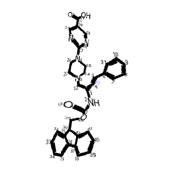 O=C(NC(/C=C/c1ccccc1)CN1CCN(c2ncc(C(=O)O)cn2)CC1)OCC1c2ccccc2-c2ccccc21